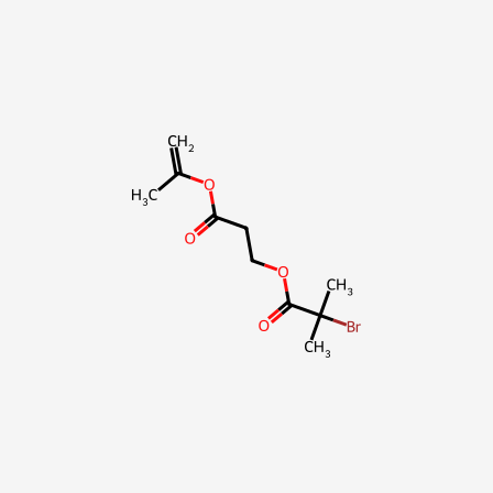 C=C(C)OC(=O)CCOC(=O)C(C)(C)Br